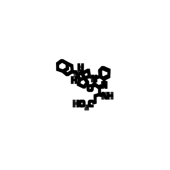 N=C(CCC(=O)O)c1nc2ccccc2n([C@@H]2C[C@H]3N(C4CC5CCCC(C5)C4)[C@@H]4CCCC432)c1=O